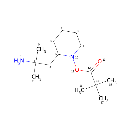 CC(C)(N)CC1CCCCN1OC(=O)C(C)(C)C